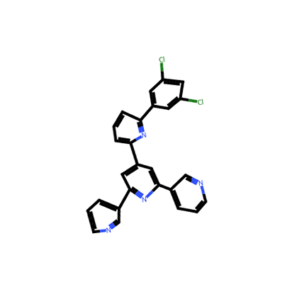 Clc1cc(Cl)cc(-c2cccc(-c3cc(-c4cccnc4)nc(-c4cccnc4)c3)n2)c1